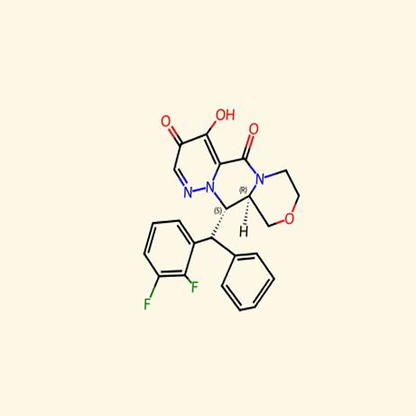 O=C1c2c(O)c(=O)cnn2[C@@H](C(c2ccccc2)c2cccc(F)c2F)[C@@H]2COCCN12